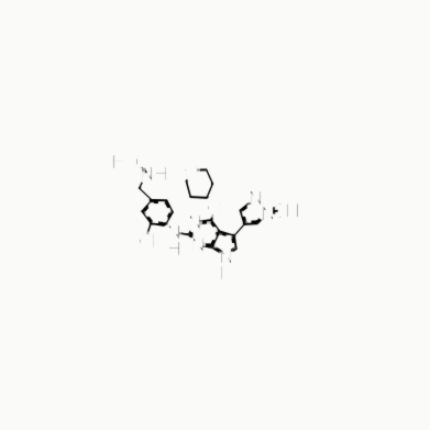 CNCc1ccc(Nc2nc(OC3CCOCC3)c3c(-c4cnn(C)c4)c[nH]c3n2)c(Cl)c1